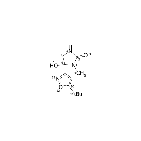 CN1C(=O)NCC1(O)c1cc(C(C)(C)C)on1